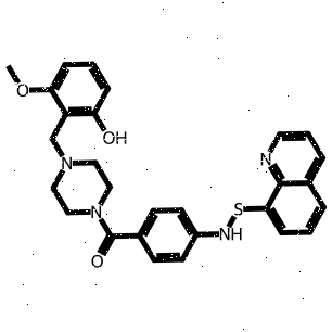 COc1cccc(O)c1CN1CCN(C(=O)c2ccc(NSc3cccc4cccnc34)cc2)CC1